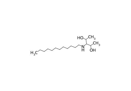 CCCCCCCCCCCCNC(C(C)O)C(C)O